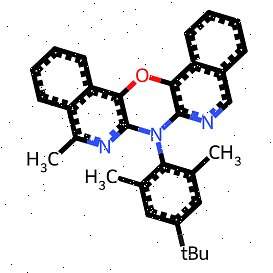 Cc1cc(C(C)(C)C)cc(C)c1N1c2ncc3ccccc3c2Oc2c1nc(C)c1ccccc21